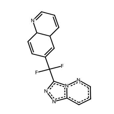 FC(F)(C1=CC2C=CC=NC2C=C1)c1nnc2cccnn12